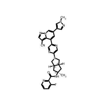 Cn1cc(-c2cc(-c3cnc(N4C[C@@H]5C[C@@](C)(NC(=O)c6ncccc6F)C[C@@H]5C4)cn3)c3c(C#N)cnn3c2)cn1